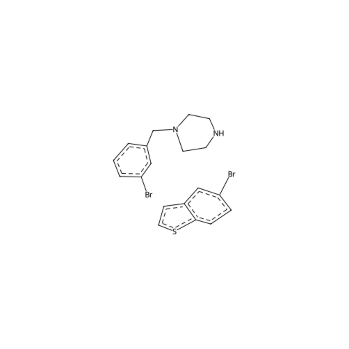 Brc1ccc2sccc2c1.Brc1cccc(CN2CCNCC2)c1